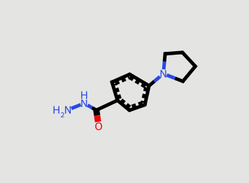 NNC(=O)c1ccc(N2CCCC2)cc1